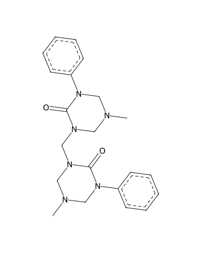 CN1CN(CN2CN(C)CN(c3ccccc3)C2=O)C(=O)N(c2ccccc2)C1